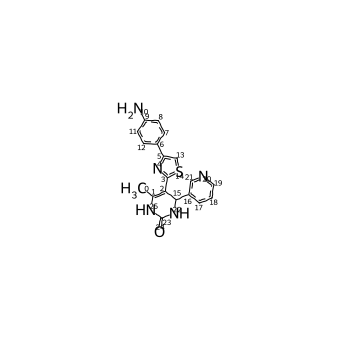 CC1=C(c2nc(-c3ccc(N)cc3)cs2)C(c2cccnc2)NC(=O)N1